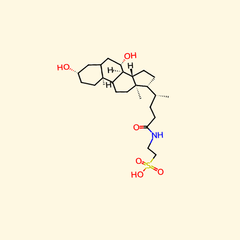 C[C@H](CCC(=O)NCCS(=O)(=O)O)[C@H]1CC[C@H]2[C@@H]3[C@@H](O)CC4C[C@@H](O)CC[C@]4(C)[C@H]3CC[C@]12C